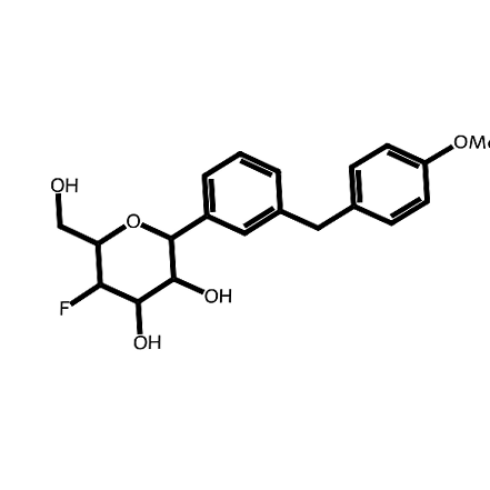 COc1ccc(Cc2cccc(C3OC(CO)C(F)C(O)C3O)c2)cc1